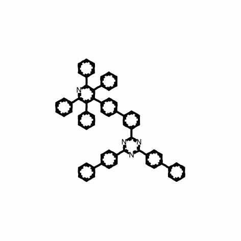 c1ccc(-c2ccc(-c3nc(-c4ccc(-c5ccccc5)cc4)nc(-c4cccc(-c5ccc(-c6c(-c7ccccc7)c(-c7ccccc7)nc(-c7ccccc7)c6-c6ccccc6)cc5)c4)n3)cc2)cc1